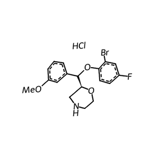 COc1cccc(C(Oc2ccc(F)cc2Br)[C@@H]2CNCCO2)c1.Cl